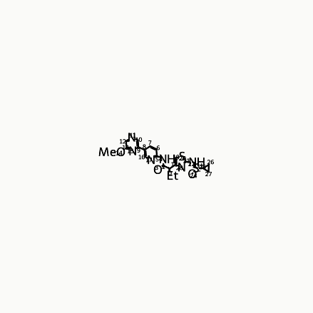 CCC(C(=O)Nc1ccc(-c2cncc(OC)n2)cn1)c1csc(N[S+]([O-])C2CC2)n1